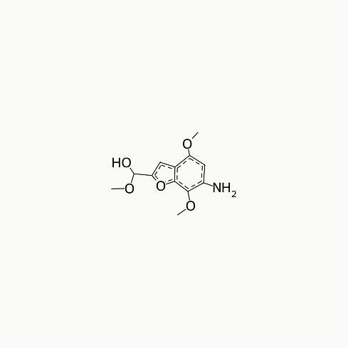 COc1cc(N)c(OC)c2oc(C(O)OC)cc12